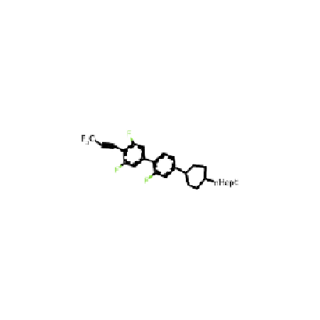 CCCCCCCC1CCC(c2ccc(-c3cc(F)c(C#CC(F)(F)F)c(F)c3)c(F)c2)CC1